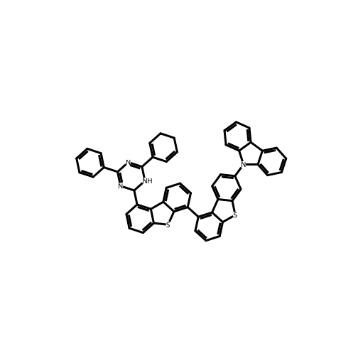 C1=CC(C2=NC(c3ccccc3)=NC(c3cccc4sc5c(-c6cccc7sc8cc(-n9c%10ccccc%10c%10ccccc%109)ccc8c67)cccc5c34)N2)=CCC1